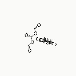 O=COC(=O)OC=O.[CaH2].[CaH2].[CaH2].[CaH2]